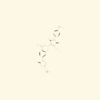 CCN(CCn1c(=O)n(-c2ccc(N)cc2)c(=O)n1C)c1ccc(N2C[C@H](CN)OC2=O)cc1F